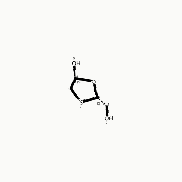 OC[C@H]1O[C@H](O)CS1